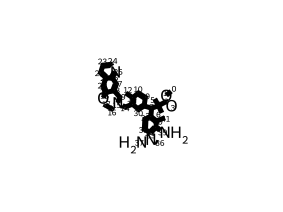 COC(=O)C(C)(C)C(c1ccc(C)c(CN2CCOc3cc4cccnc4cc3C2)c1)c1ccc(N(C)N)c(N)c1C